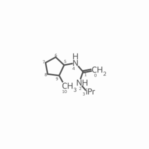 C=C(NC(C)C)NC1CCCC1C